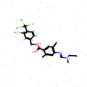 CCN(C)/C=N/c1cc(C)c(C(=O)OCc2ccc(C(F)(F)F)c(F)c2)cc1C